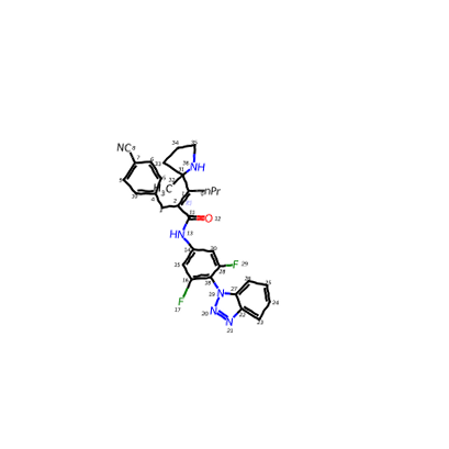 CCC/C(=C(/Cc1ccc(C#N)cc1)C(=O)Nc1cc(F)c(-n2nnc3ccccc32)c(F)c1)C1(C)CCCN1